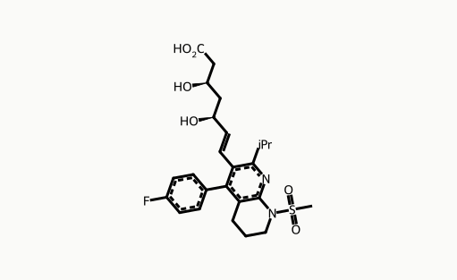 CC(C)c1nc2c(c(-c3ccc(F)cc3)c1C=C[C@@H](O)C[C@@H](O)CC(=O)O)CCCN2S(C)(=O)=O